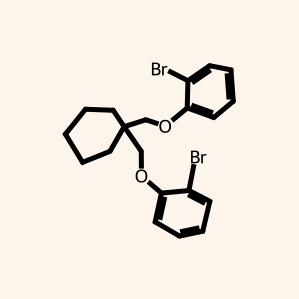 Brc1ccccc1OCC1(COc2ccccc2Br)CCCCC1